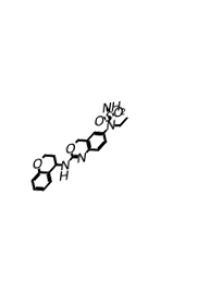 CCN(c1ccc2c(c1)COC(NC1CCOc3ccccc31)=N2)S(N)(=O)=O